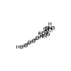 O=C1CCC(N2C(=O)c3cc(F)c(NCCOCCOCCOCCOCCO)cc3C2=O)C(=O)N1